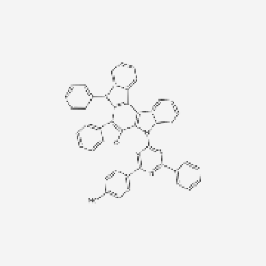 N#Cc1ccc(-c2nc(-c3ccccc3)nc(-n3c4ccccc4c4c5c6ccccc6n(-c6ccccc6)c5c5c6ccccc6oc5c43)n2)cc1